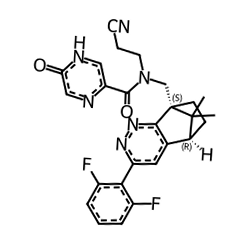 CC1(C)[C@H]2CC[C@]1(CN(CCC#N)C(=O)c1c[nH]c(=O)cn1)c1nnc(-c3c(F)cccc3F)cc12